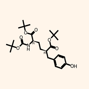 CC(C)(C)OC(=O)N[C@H](CC[C@H](Cc1ccc(O)cc1)C(=O)OC(C)(C)C)C(=O)OC(C)(C)C